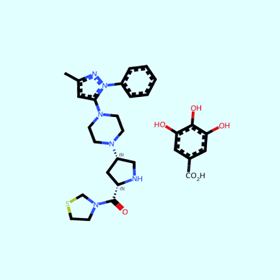 Cc1cc(N2CCN([C@@H]3CN[C@H](C(=O)N4CCSC4)C3)CC2)n(-c2ccccc2)n1.O=C(O)c1cc(O)c(O)c(O)c1